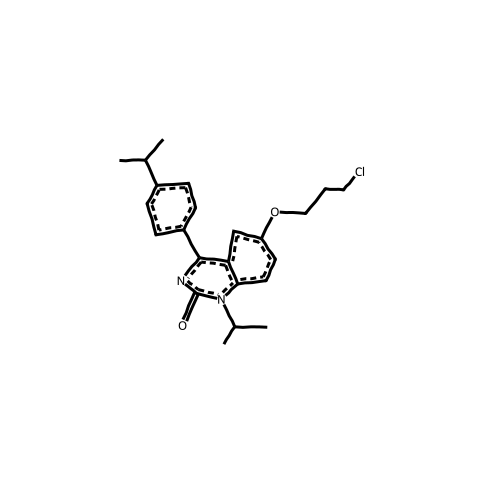 CC(C)c1ccc(-c2nc(=O)n(C(C)C)c3ccc(OCCCCl)cc23)cc1